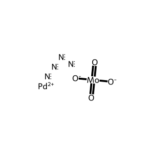 [N].[N].[N].[N].[O]=[Mo](=[O])([O-])[O-].[Pd+2]